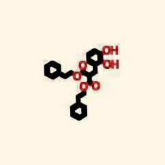 O=C(OCCc1ccccc1)C(Cc1cccc(O)c1O)C(=O)OCCc1ccccc1